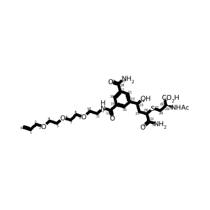 C=CCOCCOCCOCCNC(=O)c1cc(C(N)=O)cc(C(O)CC(SC[C@H](NC(C)=O)C(=O)O)C(N)=O)c1